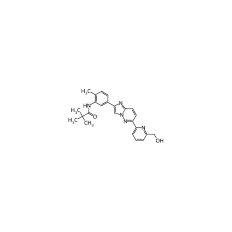 Cc1ccc(-c2cn3nc(-c4cccc(CO)n4)ccc3n2)cc1NC(=O)C(C)(C)C